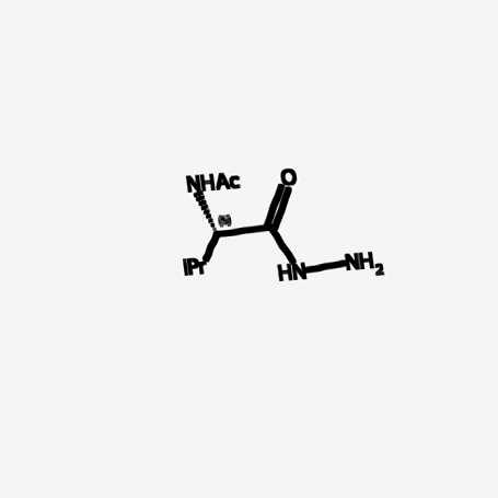 CC(=O)N[C@H](C(=O)NN)C(C)C